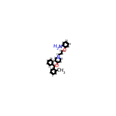 Cc1ccccc1C(OC1CCN(CCCOc2ccccc2N)CC1)c1ccccc1